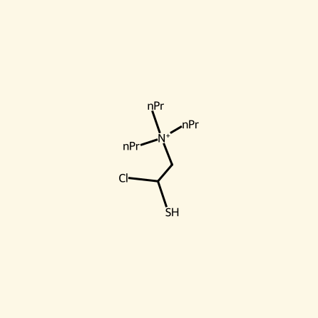 CCC[N+](CCC)(CCC)CC(S)Cl